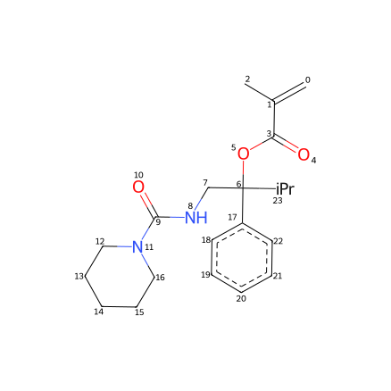 C=C(C)C(=O)OC(CNC(=O)N1CCCCC1)(c1ccccc1)C(C)C